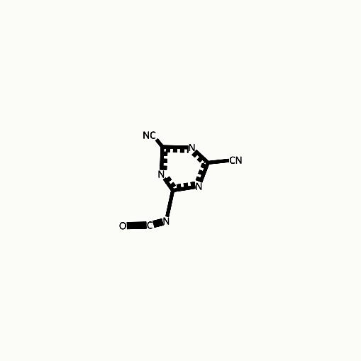 N#Cc1nc(C#N)nc(N=C=O)n1